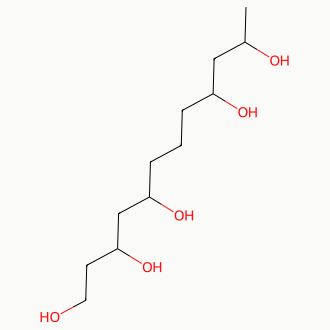 CC(O)CC(O)CCCC(O)CC(O)CCO